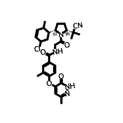 Cc1cc(Oc2ccc(C(=O)NCC(=O)N3[C@H](C4CC(Cl)C=CC4C)CC[C@@H]3C(C)(C)C#N)cc2C)c(=O)[nH]n1